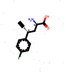 C#C[C@H](C[C@@H](N)C(=O)O)c1ccc(F)cc1